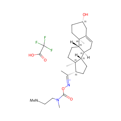 CNCCN(C)C(=O)O/N=C(\C)[C@H]1CC[C@H]2[C@@H]3CC=C4C[C@@H](O)CC[C@]4(C)[C@H]3CC[C@]12C.O=C(O)C(F)(F)F